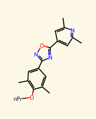 CCCOc1c(C)cc(-c2noc(-c3cc(C)nc(C)c3)n2)cc1C